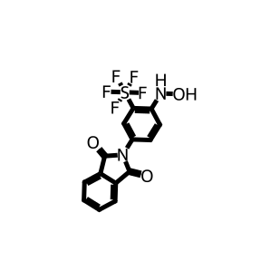 O=C1c2ccccc2C(=O)N1c1ccc(NO)c(S(F)(F)(F)(F)F)c1